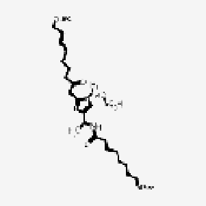 CCCCCCCCCCCCCCCCCC(=O)Cc1nc(C(C)NC(=O)CCCCCCCCCCCCCCCCC)cn1C.O=S(=O)(O)O